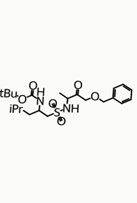 CC(C)CC(CS(=O)(=O)NC(C)C(=O)COCc1ccccc1)NC(=O)OC(C)(C)C